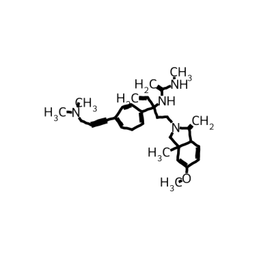 C=CC(CCN1CC2(C)C=C(OC)C=CC2C1=C)(NC(=C)NC)C1=CCC=C(C#CCN(C)C)C=C1